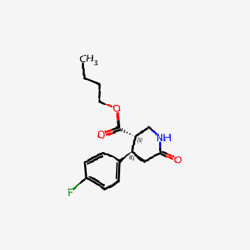 CCCCOC(=O)[C@@H]1CNC(=O)C[C@H]1c1ccc(F)cc1